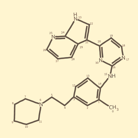 Cc1cc(CCN2CCCCC2)ccc1Nc1nccc(-c2c[nH]c3ncccc23)n1